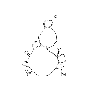 CC[C@@H]1CCCC[C@H](CO)[C@@H]2CC[C@H]2CN2CCCCc3cc(Cl)ccc3COc3ccc(cc32)C(=O)NS1(=O)=O